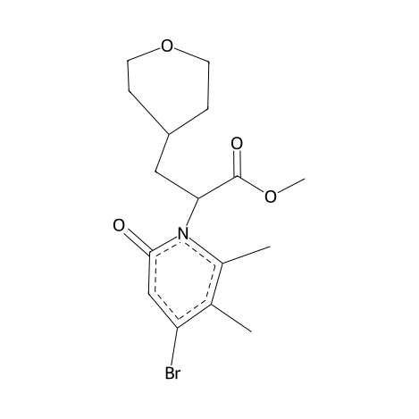 COC(=O)C(CC1CCOCC1)n1c(C)c(C)c(Br)cc1=O